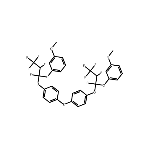 COc1cccc(OC(F)(Oc2ccc(Sc3ccc(OC(F)(Oc4cccc(OC)c4)C(F)C(F)(F)F)cc3)cc2)C(F)C(F)(F)F)c1